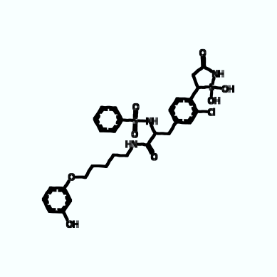 O=C1CC(c2ccc(CC(NS(=O)(=O)c3ccccc3)C(=O)NCCCCCOc3cccc(O)c3)cc2Cl)S(O)(O)N1